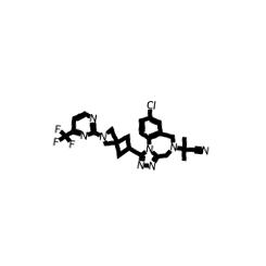 CC(C)(C#N)N1Cc2cc(Cl)ccc2-n2c(nnc2C2CC3(C2)CN(c2nccc(C(F)(F)F)n2)C3)C1